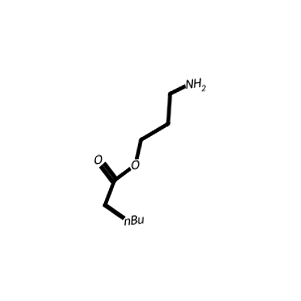 CCCCCC(=O)OCCCN